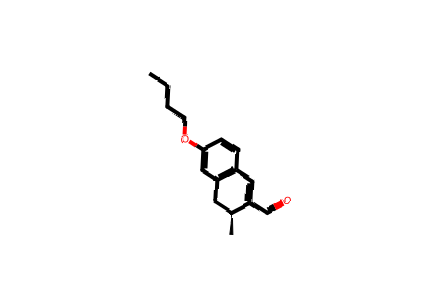 CCCCOc1ccc2c(c1)C[C@H](C)C(C=O)=C2